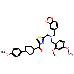 COc1ccc(C2CCC(C(=O)c3csc(CN(Cc4ccc5c(c4)OCO5)Cc4ccc(OC)cc4OC)n3)CC2)cc1